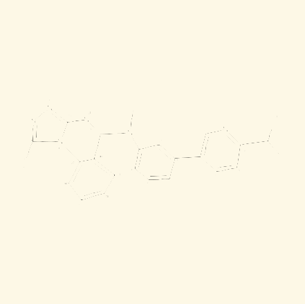 CN(c1cccc(-c2ccc(C(F)F)nc2)c1)c1nc2nnc(Cl)n2c2ccccc12